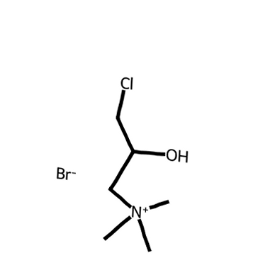 C[N+](C)(C)CC(O)CCl.[Br-]